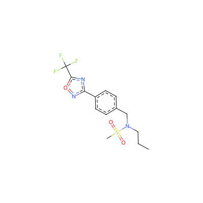 CCCN(Cc1ccc(-c2noc(C(F)(F)F)n2)cc1)S(C)(=O)=O